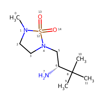 CN1CCN(C[C@@H](N)C(C)(C)C)S1(=O)=O